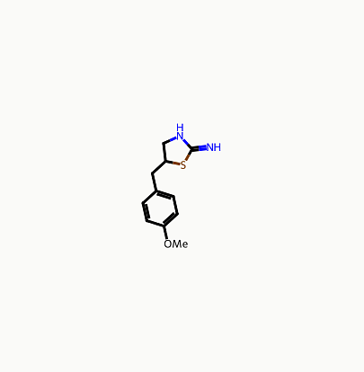 COc1ccc(CC2CNC(=N)S2)cc1